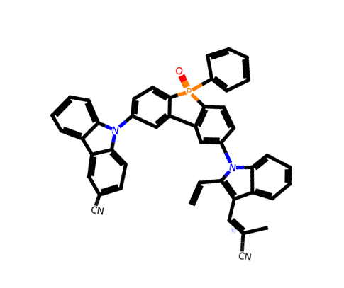 C=Cc1c(/C=C(\C)C#N)c2ccccc2n1-c1ccc2c(c1)-c1cc(-n3c4ccccc4c4cc(C#N)ccc43)ccc1P2(=O)c1ccccc1